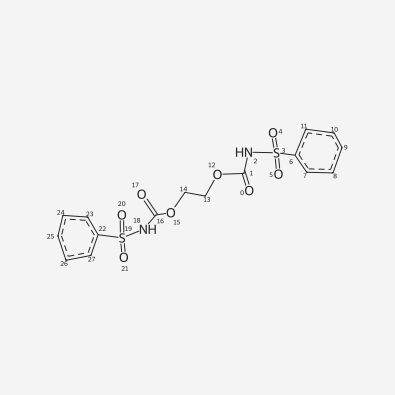 O=C(NS(=O)(=O)c1ccccc1)OCCOC(=O)NS(=O)(=O)c1ccccc1